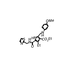 CCOC(=O)c1c(CNc2ccc(OC)cc2)[nH]c(C(=O)NCc2nccs2)c1CC